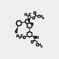 C=CC(=O)Nc1cc(OC)cc(-c2cnc3c(c2)c(-c2cccc(C#N)c2)cn3C(C)OC(C)=O)c1